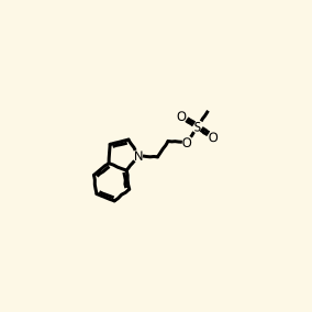 CS(=O)(=O)OCCn1ccc2ccccc21